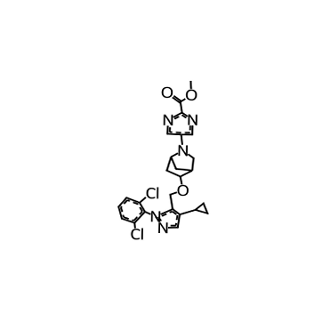 COC(=O)c1ncc(N2CC3CC2CC3OCc2c(C3CC3)cnn2-c2c(Cl)cccc2Cl)cn1